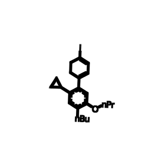 CCCCc1cc(C2CC2)c(C2=CC=C(I)CC2)cc1OCCC